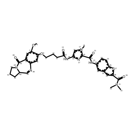 COc1cc2c(cc1OCCCC(=O)Nc1cn(C)c(C(=O)Nc3ccc4sc(C(=O)N(C)C)cc4c3)n1)N=CC1CCCN1C2=O